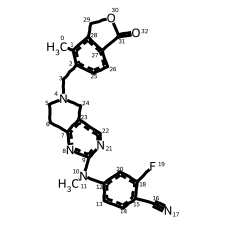 Cc1c(CN2CCc3nc(N(C)c4ccc(C#N)c(F)c4)ncc3C2)ccc2c1COC2=O